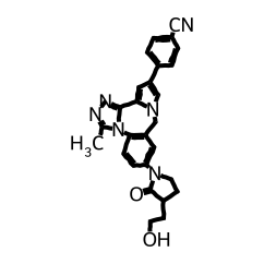 Cc1nnc2n1-c1ccc(N3CCC(CCO)C3=O)cc1Cn1cc(-c3ccc(C#N)cc3)cc1-2